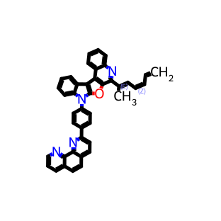 C=C/C=C\C=C(/C)c1nc2ccccc2c2c1oc1c2c2ccccc2n1-c1ccc(-c2ccc3ccc4cccnc4c3n2)cc1